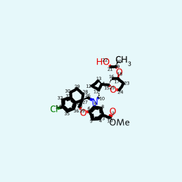 COC(=O)c1ccc2c(c1)N(C[C@@H]1CC[C@H]1[C@@H]1C[C@@H](O[C@@H](C)CO)CCO1)C[C@@]1(CCCc3cc(Cl)ccc31)CO2